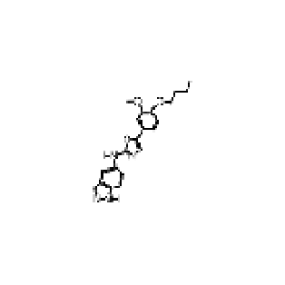 CCCCOc1ccc(-c2cnc(Nc3ccc4[nH]ncc4c3)o2)cc1OC